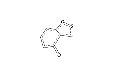 O=c1cccc2oscc1-2